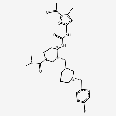 CC(=O)c1sc(NC(=O)N[C@@H]2CCN(C(=O)N(C)C)C[C@H]2CN2CCC[C@@H](Cc3ccc(F)cc3)C2)nc1C